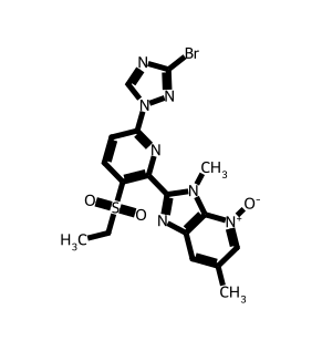 CCS(=O)(=O)c1ccc(-n2cnc(Br)n2)nc1-c1nc2cc(C)c[n+]([O-])c2n1C